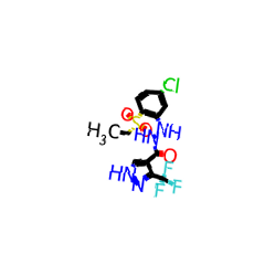 CCS(=O)(=O)c1ccc(Cl)cc1NNC(=O)c1c[nH]nc1C(F)(F)F